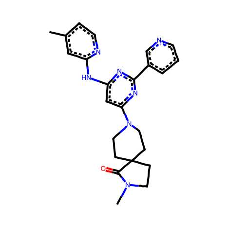 Cc1ccnc(Nc2cc(N3CCC4(CCN(C)C4=O)CC3)nc(-c3cccnc3)n2)c1